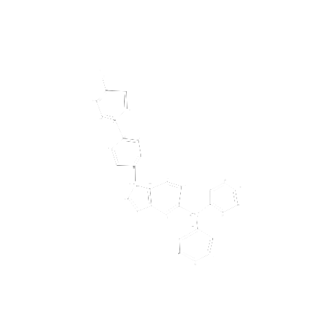 Brc1ccc(-c2ccc(-n3ccc4cc(N(c5ccccc5)c5ccccc5)ccc43)cc2)cc1